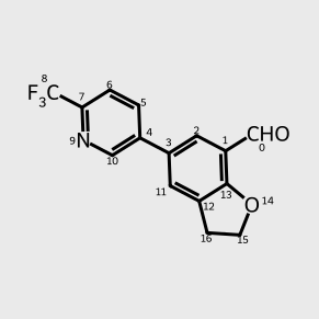 O=Cc1cc(-c2ccc(C(F)(F)F)nc2)cc2c1OCC2